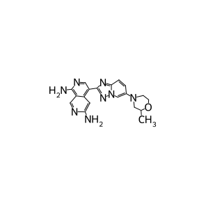 CC1CN(c2ccc3nc(-c4cnc(N)c5cnc(N)cc45)nn3c2)CCO1